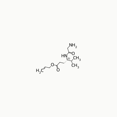 C=CCOC(=O)CC[C@H](NC(=O)CN)C(C)C